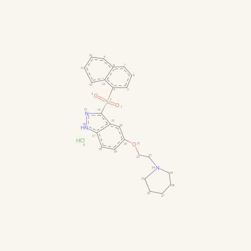 Cl.O=S(=O)(c1cccc2ccccc12)c1n[nH]c2ccc(OCCN3CCCCC3)cc12